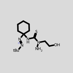 CC(C)(C)/N=N/C1(NC(=S)N(N)CCO)CCCCC1